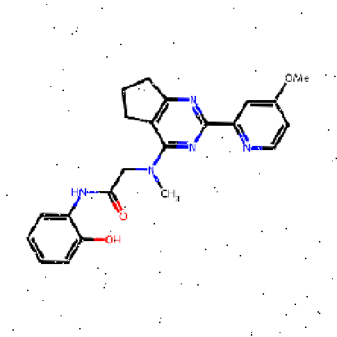 COc1ccnc(-c2nc3c(c(N(C)CC(=O)Nc4ccccc4O)n2)CCC3)c1